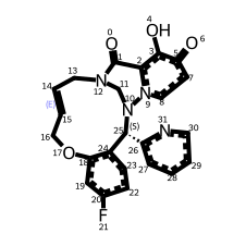 O=C1c2c(O)c(=O)ccn2N2CN1C/C=C/COc1cc(F)ccc1[C@H]2c1ccccn1